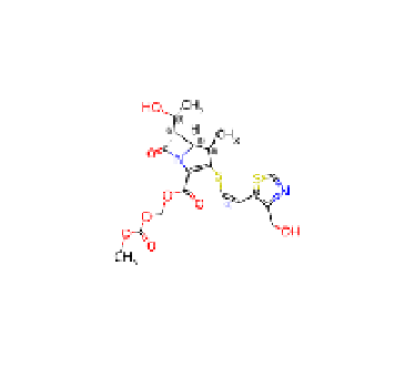 COC(=O)OCOC(=O)C1=C(S/C=C\c2scnc2CO)[C@H](C)[C@@H]2[C@@H]([C@@H](C)O)C(=O)N12